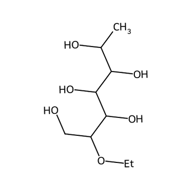 CCOC(CO)C(O)C(O)C(O)C(C)O